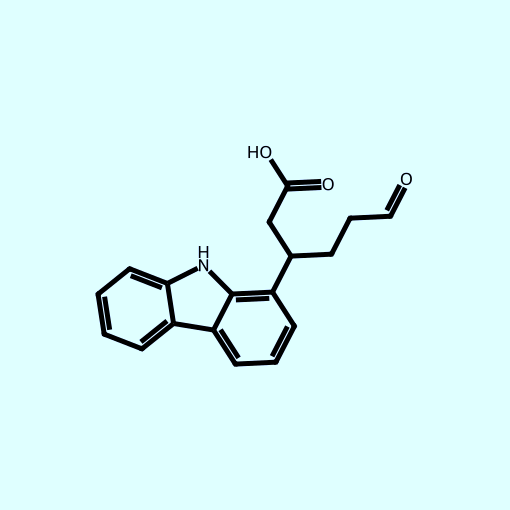 O=CCCC(CC(=O)O)c1cccc2c1[nH]c1ccccc12